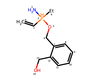 C=C[PH](N)(CC)OCc1ccccc1CO